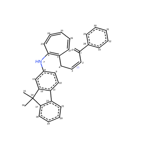 C=C(/C=C\CC1=C(Nc2ccc3c(c2)C(C)(C)c2ccccc2-3)C=C=CC=C1)c1ccccc1